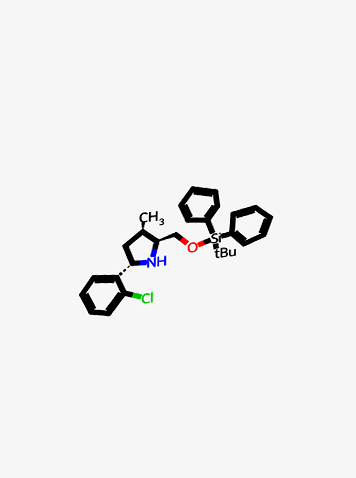 C[C@H]1C[C@@H](c2ccccc2Cl)N[C@@H]1CO[Si](c1ccccc1)(c1ccccc1)C(C)(C)C